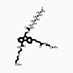 CCCCOCCNC(=O)CCCc1ccc2c(c1)C(COC(=O)NNNNNNNNNF)c1cccc(C(=O)NCCOCCCOC)c1-2